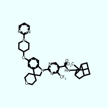 O=C(NC1(C(=O)O)C2CC3CC4CC1C34C2)c1cnc(N2CC3(CCOCC3)c3cc(OC4CCN(c5ncccn5)CC4)ccc32)nc1C(F)(F)F